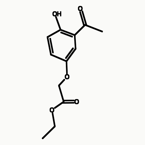 CCOC(=O)COc1ccc(O)c(C(C)=O)c1